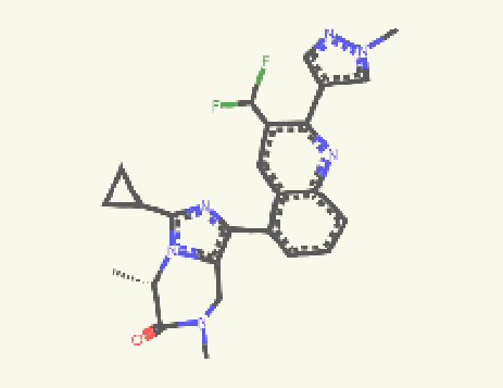 C[C@H]1C(=O)N(C)Cc2c(-c3cccc4nc(-c5cnn(C)c5)c(C(F)F)cc34)nc(C3CC3)n21